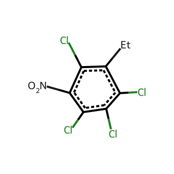 CCc1c(Cl)c(Cl)c(Cl)c([N+](=O)[O-])c1Cl